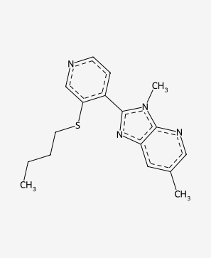 CCCCSc1cnccc1-c1nc2cc(C)cnc2n1C